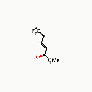 COC(=O)C=CCC(F)(F)F